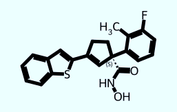 Cc1c(F)cccc1[C@@]1(C(=O)NO)C=C(c2cc3ccccc3s2)CC1